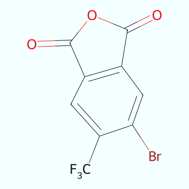 O=C1OC(=O)c2cc(C(F)(F)F)c(Br)cc21